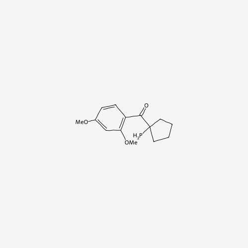 COc1ccc(C(=O)C2(P)CCCC2)c(OC)c1